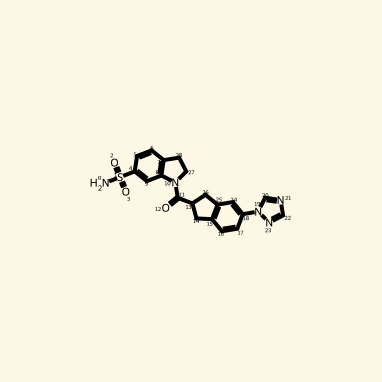 NS(=O)(=O)c1ccc2c(c1)N(C(=O)C1Cc3ccc(-n4cncn4)cc3C1)CC2